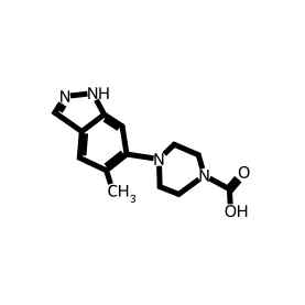 Cc1cc2cn[nH]c2cc1N1CCN(C(=O)O)CC1